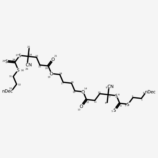 CCCCCCCCCCCCSC(=S)SC(C)(C#N)CCC(=O)OCCCCOC(=O)CCC(C)(C#N)SC(=S)SCCCCCCCCCCCC